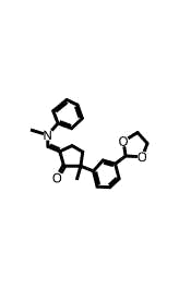 CN(C=C1CCC(C)(c2cccc(C3OCCO3)c2)C1=O)c1ccccc1